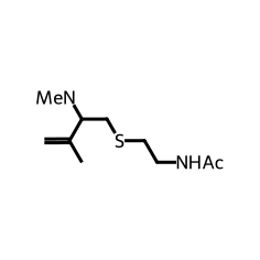 C=C(C)C(CSCCNC(C)=O)NC